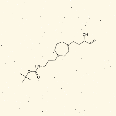 C=C[C@@H](O)CCN1CCCN(CCCNC(=O)OC(C)(C)C)CC1